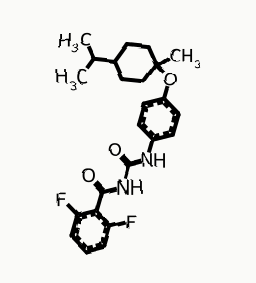 CC(C)C1CCC(C)(Oc2ccc(NC(=O)NC(=O)c3c(F)cccc3F)cc2)CC1